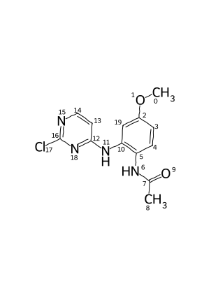 COc1ccc(NC(C)=O)c(Nc2ccnc(Cl)n2)c1